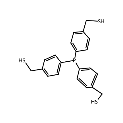 SCc1ccc(P(c2ccc(CS)cc2)c2ccc(CS)cc2)cc1